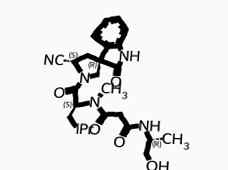 CC(C)C[C@@H](C(=O)N1C[C@]2(C[C@H]1C#N)C(=O)Nc1ccccc12)N(C)C(=O)CC(=O)N[C@H](C)CO